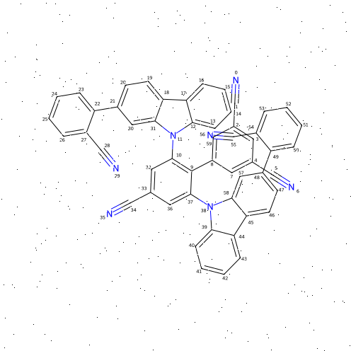 N#Cc1cc(C#N)cc(-c2c(-n3c4ccccc4c4ccc(-c5ccccc5C#N)cc43)cc(C#N)cc2-n2c3ccccc3c3ccc(-c4ccccc4C#N)cc32)c1